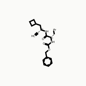 C#C[C@H](CC1CCC1)NC(=O)[C@H](CC(C)C)NC(=O)OCc1ccccc1